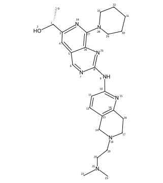 C[C@@H](O)c1cc2cnc(Nc3ccc4c(n3)CCN(CCN(C)C)C4)nc2c(N2CCCCC2)n1